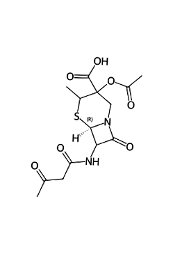 CC(=O)CC(=O)NC1C(=O)N2CC(OC(C)=O)(C(=O)O)C(C)S[C@H]12